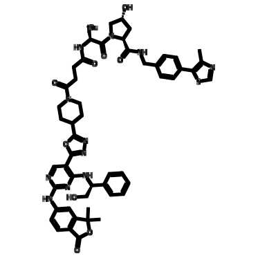 Cc1ncsc1-c1ccc(CNC(=O)[C@@H]2C[C@@H](O)CN2C(=O)[C@@H](NC(=O)CCC(=O)N2CCC(c3nnc(-c4cnc(Nc5ccc6c(c5)C(C)(C)OC6=O)nc4N[C@H](CO)c4ccccc4)o3)CC2)C(C)(C)C)cc1